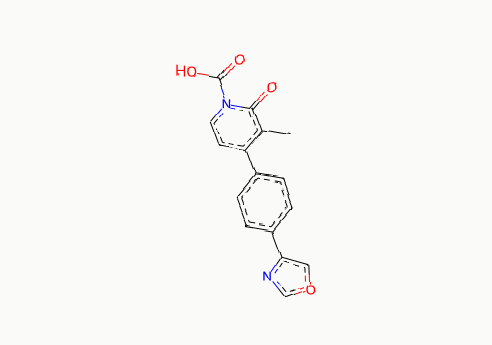 Cc1c(-c2ccc(-c3cocn3)cc2)ccn(C(=O)O)c1=O